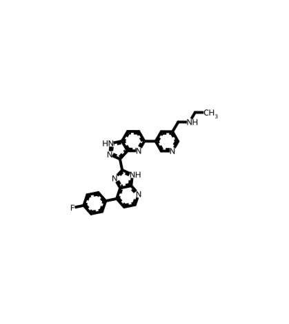 CCNCc1cncc(-c2ccc3[nH]nc(-c4nc5c(-c6ccc(F)cc6)ccnc5[nH]4)c3n2)c1